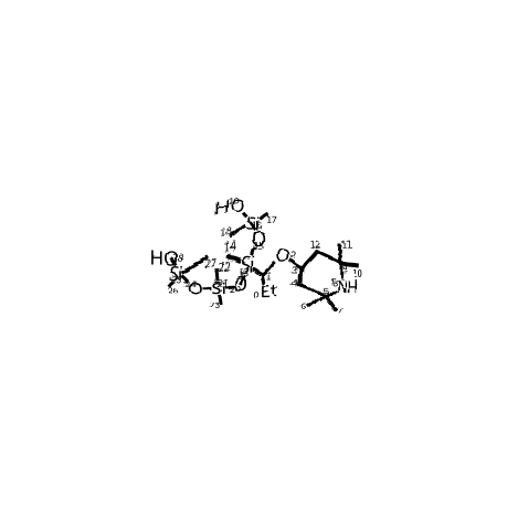 CCC(OC1CC(C)(C)NC(C)(C)C1)[Si](C)(O[Si](C)(C)O)O[Si](C)(C)O[Si](C)(C)O